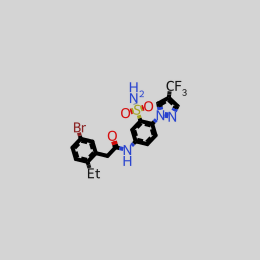 CCc1ccc(Br)cc1CC(=O)Nc1ccc(-n2cc(C(F)(F)F)cn2)c(S(N)(=O)=O)c1